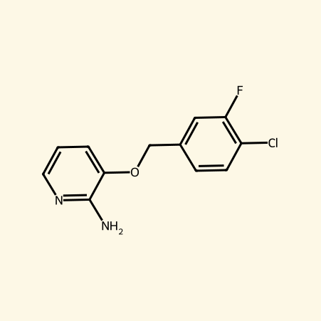 Nc1ncccc1OCc1ccc(Cl)c(F)c1